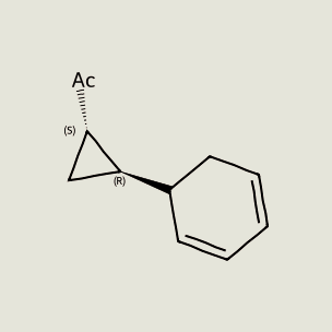 CC(=O)[C@H]1C[C@@H]1C1C=CC=CC1